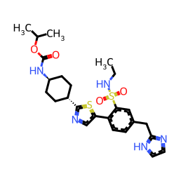 CCNS(=O)(=O)c1cc(Cc2ncc[nH]2)ccc1-c1cnc([C@H]2CC[C@H](NC(=O)OC(C)C)CC2)s1